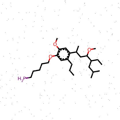 CCCc1cc(OCCCCCP)c(OC)cc1C(C)CC(OC)C(CC)CC(C)C